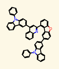 c1ccc(-n2c3ccccc3c3cc(-c4ccc5oc6cccc(-c7cc(-c8ccc9c(c8)c8ccccc8n9-c8ccccc8)c8ccccc8n7)c6c5c4)ccc32)cc1